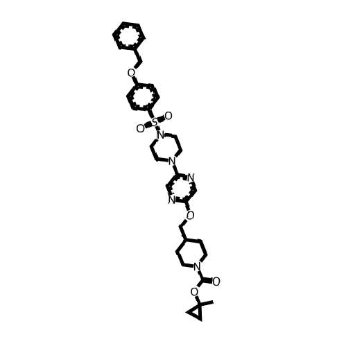 CC1(OC(=O)N2CCC(COc3cnc(N4CCN(S(=O)(=O)c5ccc(OCc6ccccc6)cc5)CC4)cn3)CC2)CC1